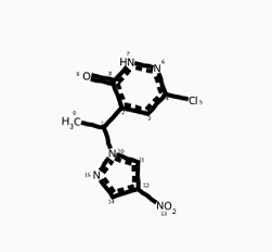 CC(c1cc(Cl)n[nH]c1=O)n1cc([N+](=O)[O-])cn1